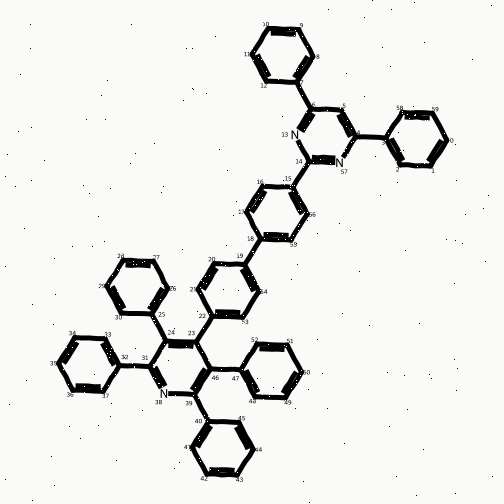 c1ccc(-c2cc(-c3ccccc3)nc(-c3ccc(-c4ccc(-c5c(-c6ccccc6)c(-c6ccccc6)nc(-c6ccccc6)c5-c5ccccc5)cc4)cc3)n2)cc1